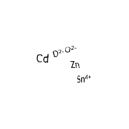 [Cd].[O-2].[O-2].[Sn+4].[Zn]